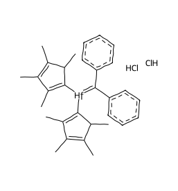 CC1=C(C)C(C)[C]([Hf]([C]2=C(C)C(C)=C(C)C2C)=[C](c2ccccc2)c2ccccc2)=C1C.Cl.Cl